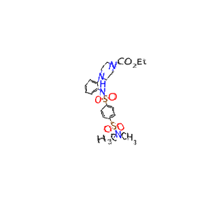 CCOC(=O)N1CCN(c2ccccc2NS(=O)(=O)c2ccc(S(=O)(=O)N(C)C)cc2)CC1